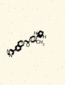 C[C@H]1CN(C(=O)CN2CCc3cc(-c4cncnc4)ccc3C2)CCN1C1C[C@H]2CC[C@@H]1C2